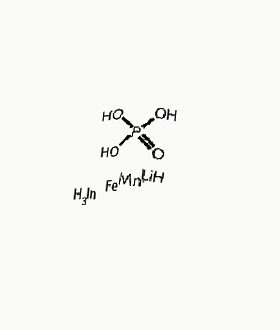 O=P(O)(O)O.[Fe].[InH3].[LiH].[Mn]